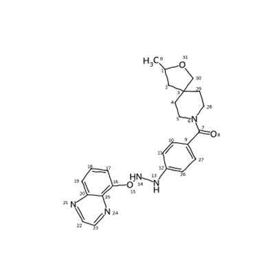 CC1CC2(CCN(C(=O)c3ccc(NNOc4cccc5nccnc45)cc3)CC2)CO1